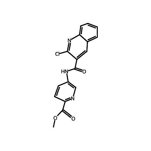 COC(=O)c1ccc(NC(=O)c2cc3ccccc3nc2Cl)cn1